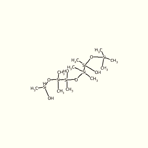 C[SiH](O)O[Si](C)(C)[Si](C)(O)O[Si](C)(C)[Si](C)(O)O[Si](C)(C)C